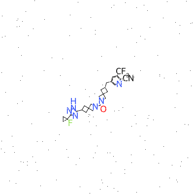 N#Cc1ncc(CC2CC3(C2)CN(C(=O)N2CC4(CC(c5nc(C6(F)CC6)n[nH]5)C4)C2)C3)cc1C(F)(F)F